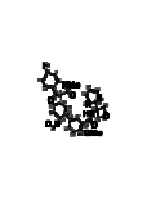 CNC(=O)c1c(-c2ccc(F)cc2)oc2cc([N+](=O)[O-])c(-c3ccc(OC)c(C(=O)NC4(c5ncccn5)COC4)c3)cc12